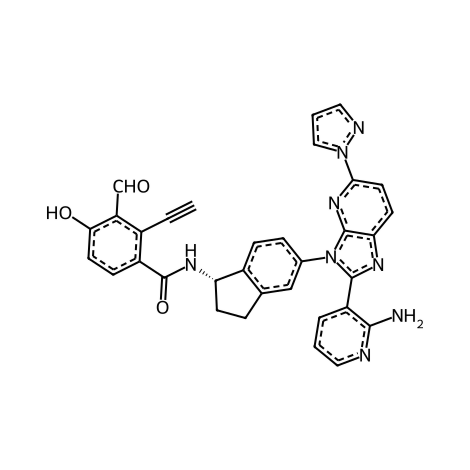 C#Cc1c(C(=O)N[C@H]2CCc3cc(-n4c(-c5cccnc5N)nc5ccc(-n6cccn6)nc54)ccc32)ccc(O)c1C=O